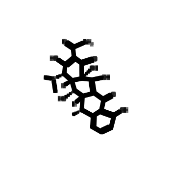 C[C@H]1c2cccc(O)c2C(=O)C2=C(O)[C@]3(O)C(=O)C(C(N)=O)=C(O)[C@@H](N(C)C)[C@H]3[C@@H](O)[C@H]21